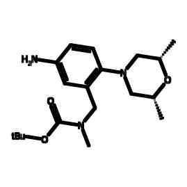 C[C@@H]1CN(c2ccc(N)cc2CN(C)C(=O)OC(C)(C)C)C[C@H](C)O1